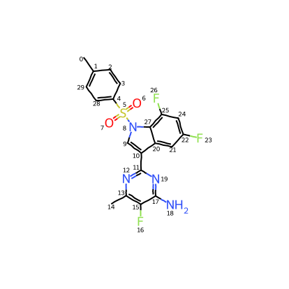 Cc1ccc(S(=O)(=O)n2cc(-c3nc(C)c(F)c(N)n3)c3cc(F)cc(F)c32)cc1